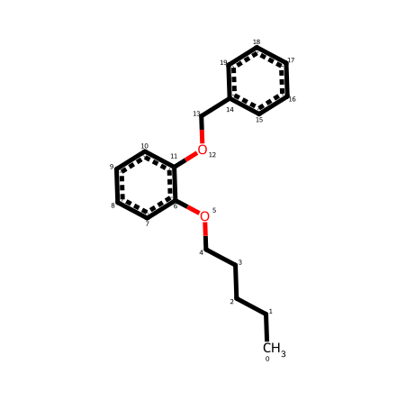 CCCCCOc1ccccc1OCc1ccccc1